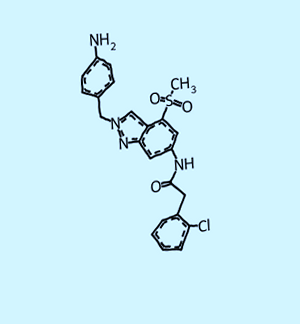 CS(=O)(=O)c1cc(NC(=O)Cc2ccccc2Cl)cc2nn(Cc3ccc(N)cc3)cc12